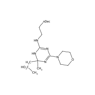 CC(=O)O.CCCCCCCCCCCCNC1=NC(N2CCOCC2)=NC(C)(C)N1